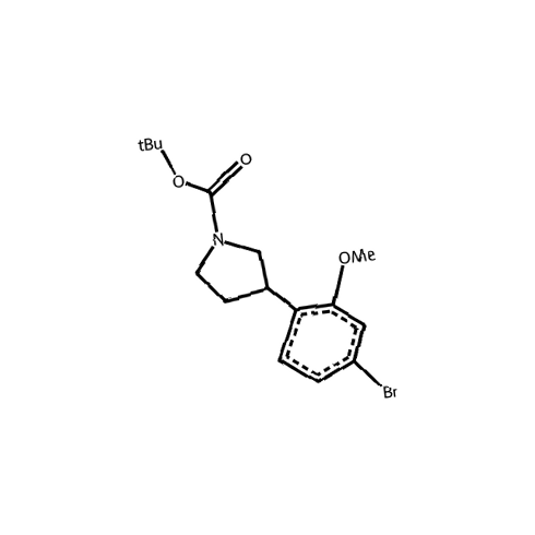 COc1cc(Br)ccc1C1CCN(C(=O)OC(C)(C)C)C1